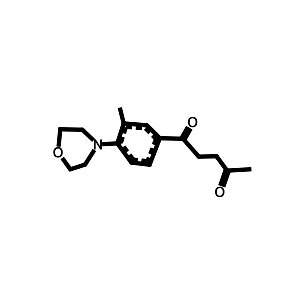 CC(=O)CCC(=O)c1ccc(N2CCOCC2)c(C)c1